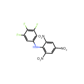 O=[N+]([O-])c1cc([N+](=O)[O-])c(Nc2cc(F)c(F)c(F)c2)c([N+](=O)[O-])c1